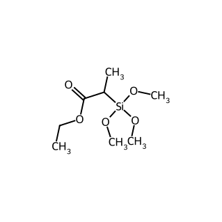 CCOC(=O)C(C)[Si](OC)(OC)OC